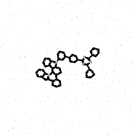 c1ccc(-c2nc(-c3ccccc3)nc(-c3ccc(-c4cccc(-n5c6ccccc6c6c5ccc5c7ccccc7c7cc8ccccc8n7c56)c4)cc3)n2)cc1